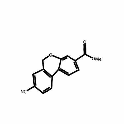 COC(=O)c1ccc2c(c1)OCc1cc(C#N)ccc1-2